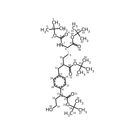 CC(C)(C)OC(=O)N[C@@H](CCC(Cc1ccc(N(CCO)C(=O)OC(C)(C)C)cc1)C(=O)OC(C)(C)C)C(=O)OC(C)(C)C